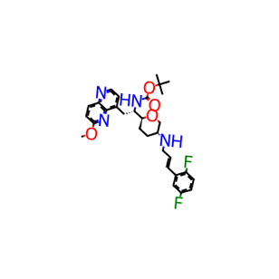 COc1ccc2nccc(C[C@H](NC(=O)OC(C)(C)C)[C@@H]3CC[C@@H](NCC=Cc4cc(F)ccc4F)CO3)c2n1